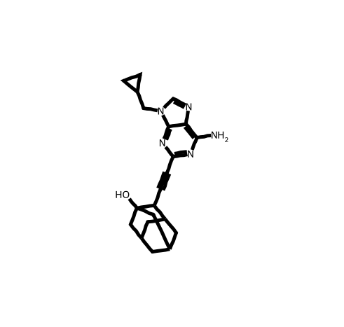 Nc1nc(C#CC2C3CC4CC(C3)CC2(O)C4)nc2c1ncn2CC1CC1